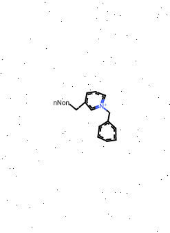 CCCCCCCCCCc1ccc[n+](Cc2ccccc2)c1